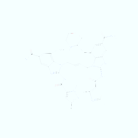 CCc1nc(C)sc1C(=O)Nc1nc2cc(C(N)=O)cc(CC3COCCN3)c2n1C/C=C/Cn1c(NC(=O)c2cc(C)nn2CC)nc2cc(C(N)=O)cc(OC)c21